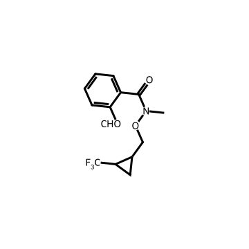 CN(OCC1CC1C(F)(F)F)C(=O)c1ccccc1C=O